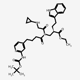 CCOC(=O)[C@H](CCc1c[nH]c2ccccc12)CN(C(=O)CCCc1ccnc(NC(=O)OC(C)(C)C)c1)C(=O)CNC1CC1